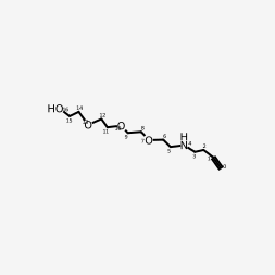 C#CCCNCCOCCOCCOCCO